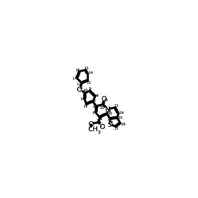 COC(=O)c1cc(-c2ccc(Oc3ccccc3)cc2)c(=O)n2ccc3ccsc3c12